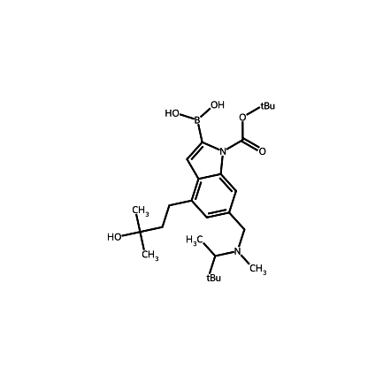 CC(N(C)Cc1cc(CCC(C)(C)O)c2cc(B(O)O)n(C(=O)OC(C)(C)C)c2c1)C(C)(C)C